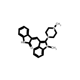 CN1CCN(c2c(/C=C3\C(=O)Nc4ccccc43)c3ccccc3n2C)CC1